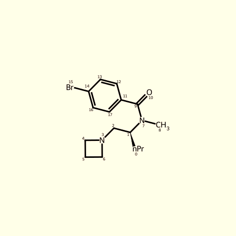 CCC[C@@H](CN1CCC1)N(C)C(=O)c1ccc(Br)cc1